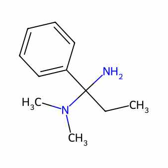 CCC(N)(c1ccccc1)N(C)C